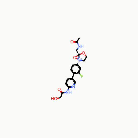 CC(=O)NC[C@@]12OCC[N@@+]1(c1ccc(-c3ccc(NC(=O)CO)nc3)c(F)c1)O2